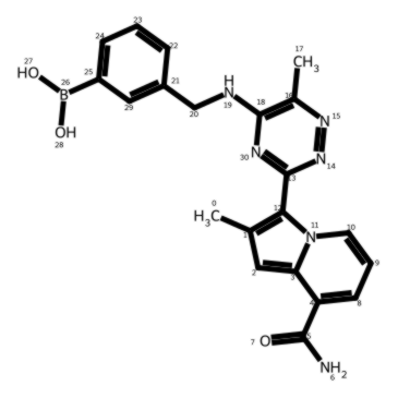 Cc1cc2c(C(N)=O)cccn2c1-c1nnc(C)c(NCc2cccc(B(O)O)c2)n1